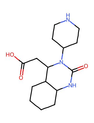 O=C(O)CC1C2CCCCC2NC(=O)N1C1CCNCC1